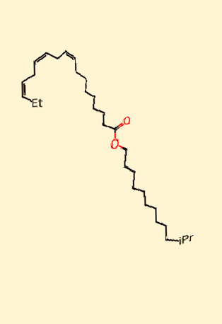 CC/C=C\C/C=C\C/C=C\CCCCCCCC(=O)OCCCCCCCCCCC(C)C